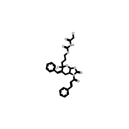 CC1(CCCOC(=O)NC(=O)CCl)OC2OC(=O)N(C(=O)C=Cc3ccccc3)C2CC1=Cc1ccccc1